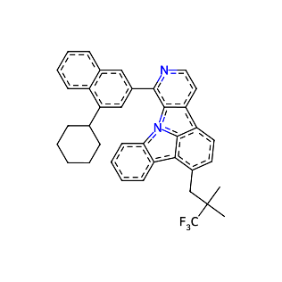 CC(C)(Cc1ccc2c3ccnc(-c4cc(C5CCCCC5)c5ccccc5c4)c3n3c4ccccc4c1c23)C(F)(F)F